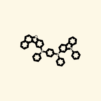 c1ccc(N(c2ccc(N(c3ccccc3)c3ccc4c5ccccc5n(-c5ccccc5)c4c3)cc2)c2ccc3oc4ccc5ccccc5c4c3c2)cc1